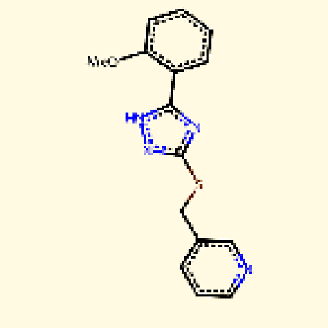 COc1ccccc1-c1nc(SCc2cccnc2)n[nH]1